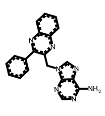 Nc1ncnc2c1ncn2Cc1nc2ccccc2nc1-c1ccccc1